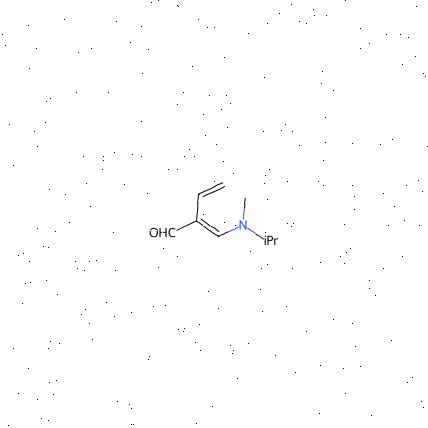 C=C/C(C=O)=C\N(C)C(C)C